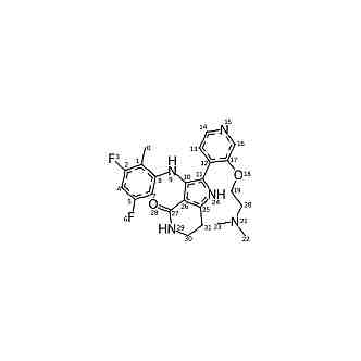 Cc1c(F)cc(F)cc1Nc1c(-c2ccncc2OCCN(C)C)[nH]c2c1C(=O)NCC2